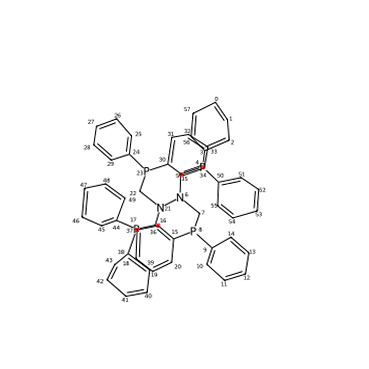 c1ccc(P(CN(CP(c2ccccc2)c2ccccc2)N(CP(c2ccccc2)c2ccccc2)CP(c2ccccc2)c2ccccc2)c2ccccc2)cc1